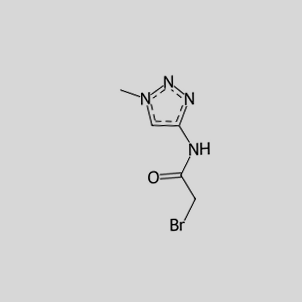 Cn1cc(NC(=O)CBr)nn1